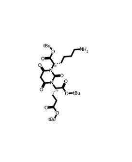 CC(C)(C)OC(=O)CC[C@@H](C(=O)OC(C)(C)C)N1C(=O)CC(=O)N([C@@H](CCCCN)C(=O)OC(C)(C)C)C1=O